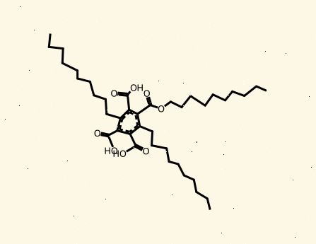 CCCCCCCCCCOC(=O)c1c(CCCCCCCCCC)c(C(=O)O)c(C(=O)O)c(CCCCCCCCCC)c1C(=O)O